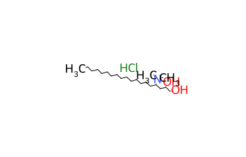 CCCCCCCCCCCCCCCC(CC(O)CO)N(C)C.Cl